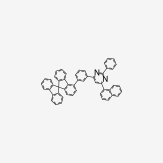 c1ccc(-c2nc(-c3cccc(-c4cccc5c4-c4ccccc4C54c5ccccc5-c5ccccc54)c3)cc(-c3cccc4ccccc34)n2)cc1